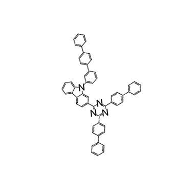 c1ccc(-c2ccc(-c3cccc(-n4c5ccccc5c5ccc(-c6nc(-c7ccc(-c8ccccc8)cc7)nc(-c7ccc(-c8ccccc8)cc7)n6)cc54)c3)cc2)cc1